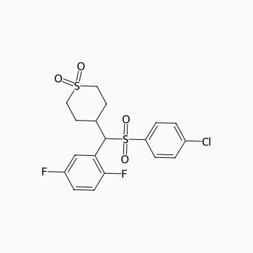 O=S1(=O)CCC(C(c2cc(F)ccc2F)S(=O)(=O)c2ccc(Cl)cc2)CC1